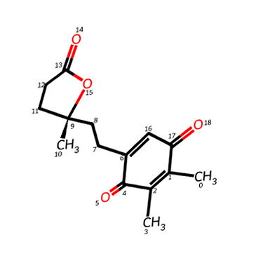 CC1=C(C)C(=O)C(CC[C@]2(C)CCC(=O)O2)=CC1=O